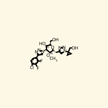 CO[C@@H]1[C@@H](n2cc(-c3ccc(Cl)c(F)c3F)nn2)[C@@H](O)[C@@H](CO)O[C@@H]1Cc1cn(C2(CO)CC2)nn1